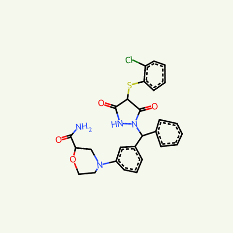 NC(=O)C1CN(c2cccc(C(c3ccccc3)N3NC(=O)C(Sc4ccccc4Cl)C3=O)c2)CCO1